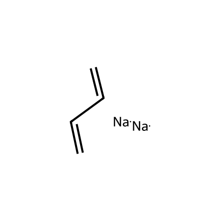 C=CC=C.[Na].[Na]